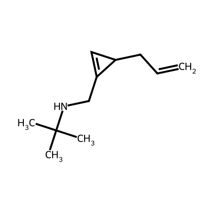 C=CCC1C=C1CNC(C)(C)C